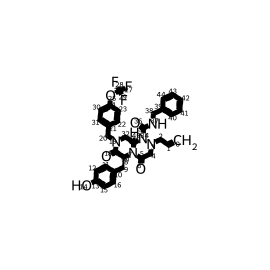 C=CCN1CC(=O)N2[C@@H](Cc3ccc(O)cc3)C(=O)N(Cc3ccc(OC(F)(F)F)cc3)C[C@@H]2N1C(=O)NCc1ccccc1